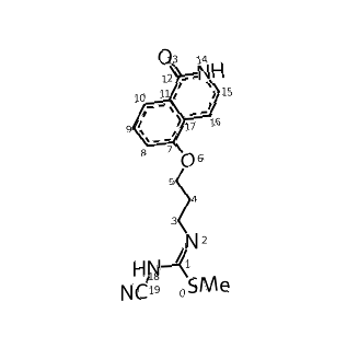 CSC(=NCCCOc1cccc2c(=O)[nH]ccc12)NC#N